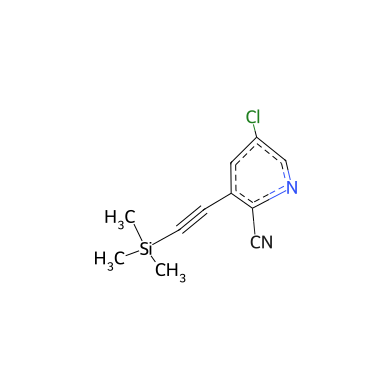 C[Si](C)(C)C#Cc1cc(Cl)cnc1C#N